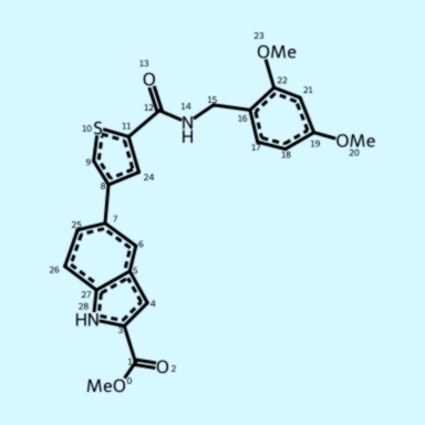 COC(=O)c1cc2cc(-c3csc(C(=O)NCc4ccc(OC)cc4OC)c3)ccc2[nH]1